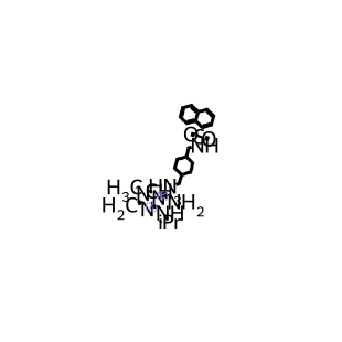 C=C(/N=C(\N=C(/N)NCC1CCC(CNS(=O)(=O)c2cccc3ccccc23)CC1)NC(C)C)N(C)C